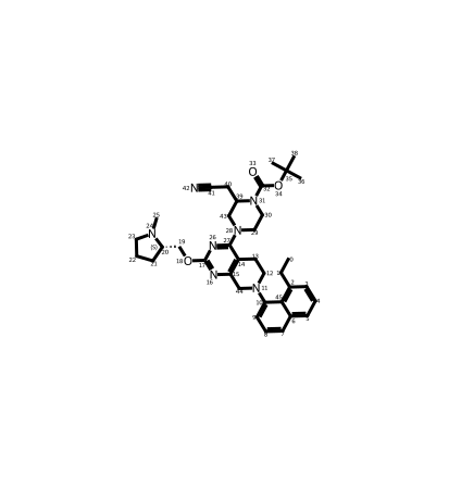 CCc1cccc2cccc(N3CCc4c(nc(OC[C@@H]5CCCN5C)nc4N4CCN(C(=O)OC(C)(C)C)C(CC#N)C4)C3)c12